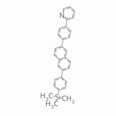 C[Si](C)(C)c1ccc(-c2ccc3cc(-c4ccc(-c5ccccn5)cc4)ccc3c2)cc1